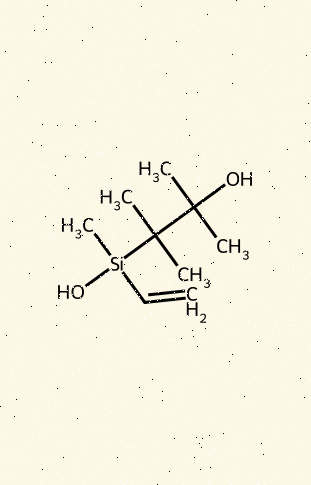 C=C[Si](C)(O)C(C)(C)C(C)(C)O